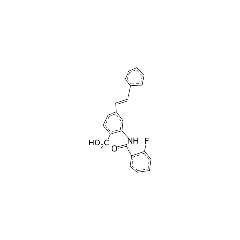 O=C(Nc1cc(C=Cc2ccccc2)ccc1C(=O)O)c1ccccc1F